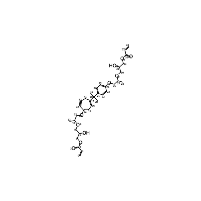 C=CC(=O)OCC(O)COC(C)COC1=CC=C(C(C)(C)c2ccc(OCC(C)OCC(O)COC(=O)C=C)cc2)CC#C1